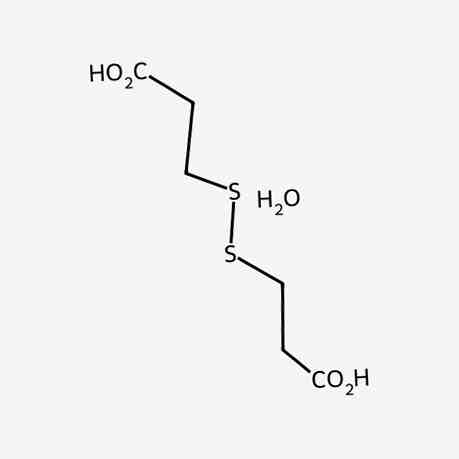 O.O=C(O)CCSSCCC(=O)O